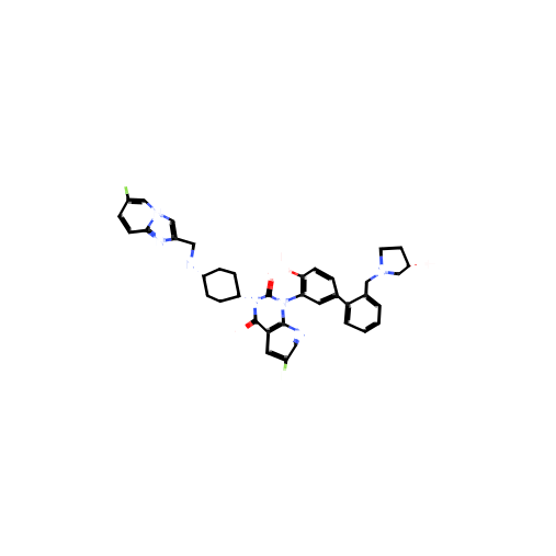 O=c1c2cc(F)cnc2n(-c2cc(-c3ccccc3CN3CC[C@H](O)C3)ccc2O)c(=O)n1[C@H]1CC[C@@H](NCc2cn3cc(F)ccc3n2)CC1